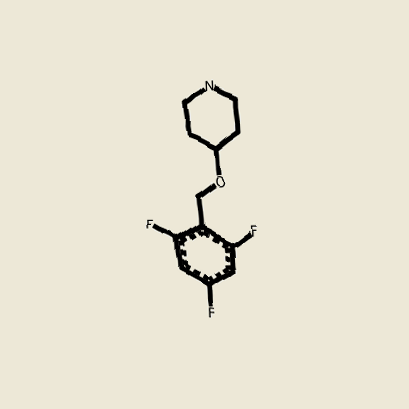 Fc1cc(F)c(COC2CC[N]CC2)c(F)c1